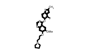 COc1cc2c(Oc3ccc4sc(C)cc4c3F)ncnc2cc1OCCCN1CCCC1